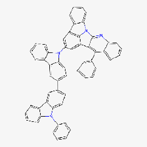 c1ccc(-c2c3ccccc3nc3c2c2cc(-n4c5ccccc5c5cc(-c6ccc7c(c6)c6ccccc6n7-c6ccccc6)ccc54)cc4c5ccccc5n3c42)cc1